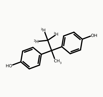 [2H]C([2H])([2H])C(C)(c1ccc(O)cc1)c1ccc(O)cc1